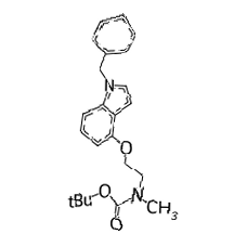 CN(CCOc1cccc2c1ccn2Cc1ccccc1)C(=O)OC(C)(C)C